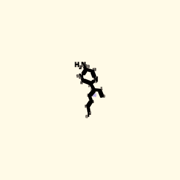 C=C/C(=C\C=CF)c1cnc(N)cn1